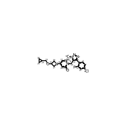 Cn1nnc(-c2ccc(Cl)cc2F)c1Cn1ncc(N2CC(OCC3CC3)C2)cc1=O